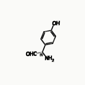 N[C@H](C=O)c1ccc(O)cc1